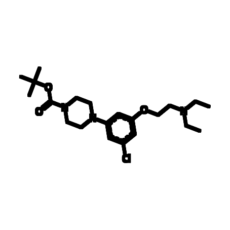 CCN(CC)CCOc1cc(Cl)cc(N2CCN(C(=O)OC(C)(C)C)CC2)c1